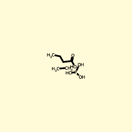 CC.CCCC(=O)O.OP(O)O